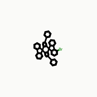 Brc1cccc2c1-c1ccccc1C21c2cc(-c3ccccc3)ccc2C2(c3ccccc3-c3ccccc32)c2ccc(-c3ccccc3)cc21